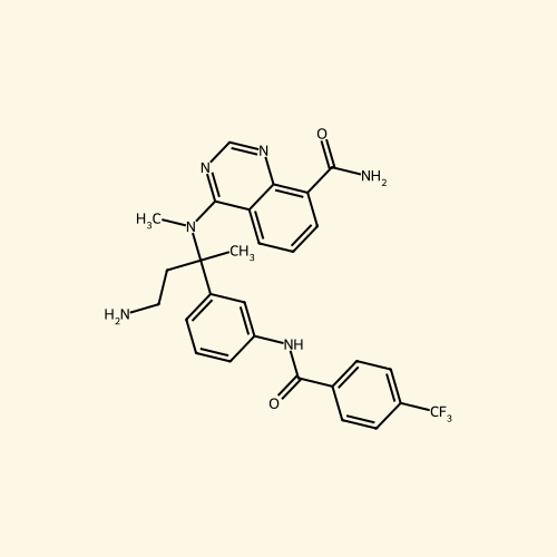 CN(c1ncnc2c(C(N)=O)cccc12)C(C)(CCN)c1cccc(NC(=O)c2ccc(C(F)(F)F)cc2)c1